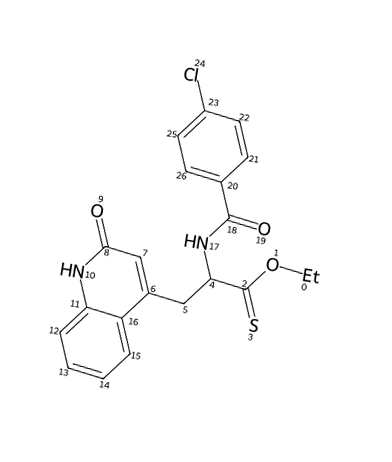 CCOC(=S)C(Cc1cc(=O)[nH]c2ccccc12)NC(=O)c1ccc(Cl)cc1